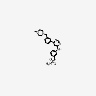 CN1CCN(Cc2cccc(-c3cc(Nc4cccc(CS(N)(=O)=O)c4)ncn3)c2)CC1